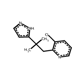 CC(C)(Cc1ncccc1Cl)c1[c]cn[nH]1